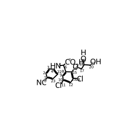 N#Cc1ccc(NC(C(=O)O)c2cc(Cl)cc(Cl)c2OC[C@@H](O)CO)cc1